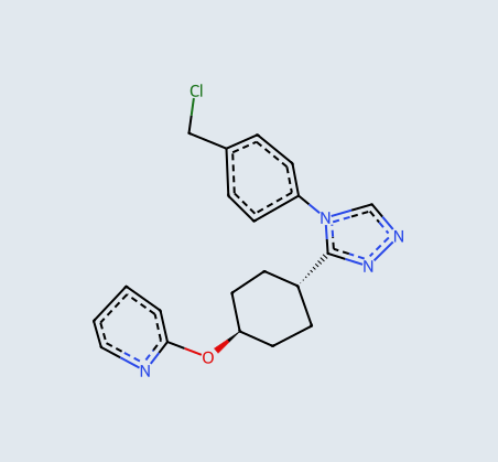 ClCc1ccc(-n2cnnc2[C@H]2CC[C@H](Oc3ccccn3)CC2)cc1